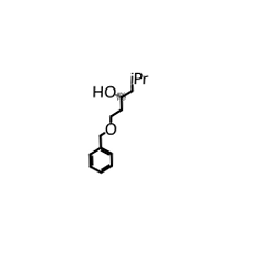 CC(C)C[C@@H](O)CCOCc1ccccc1